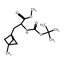 COC(=O)C(CC12CC(C)(C1)C2)NC(=O)OC(C)(C)C